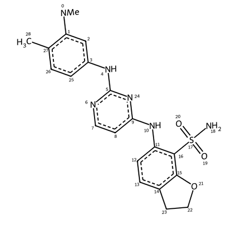 CNc1cc(Nc2nccc(Nc3ccc4c(c3S(N)(=O)=O)OCC4)n2)ccc1C